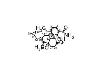 CCc1ccc(C(N)=O)c(O)c1[C@]12CCN(CC3CC3)C(C)[C@]1(O)CCC(=O)C2